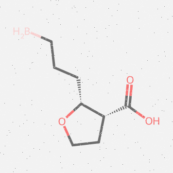 BCCC[C@H]1OCC[C@H]1C(=O)O